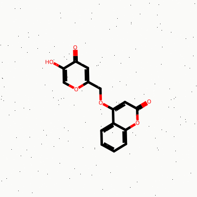 O=c1cc(OCc2cc(=O)c(O)co2)c2ccccc2o1